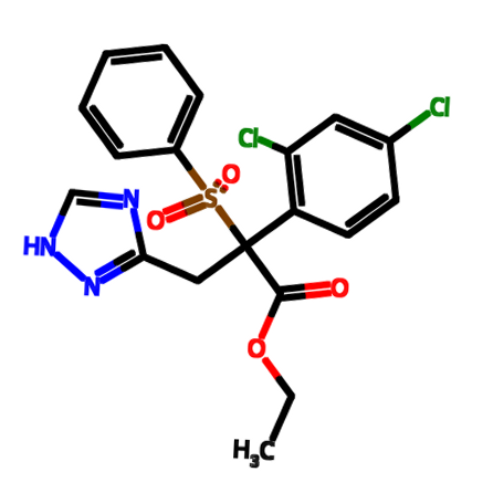 CCOC(=O)C(Cc1nc[nH]n1)(c1ccc(Cl)cc1Cl)S(=O)(=O)c1ccccc1